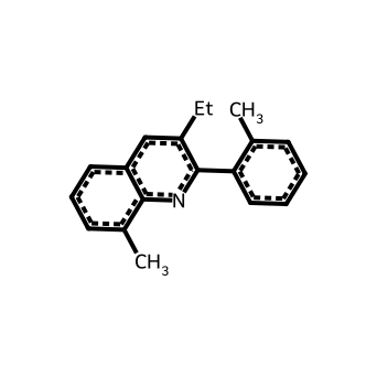 CCc1cc2cccc(C)c2nc1-c1ccccc1C